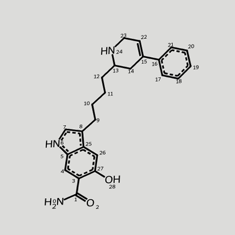 NC(=O)c1cc2[nH]cc(CCCCC3CC(c4ccccc4)=CCN3)c2cc1O